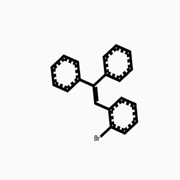 Brc1ccccc1C=C(c1ccccc1)c1ccccc1